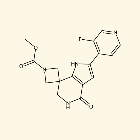 COC(=O)N1CC2(CNC(=O)c3cc(-c4ccncc4F)[nH]c32)C1